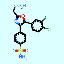 NS(=O)(=O)c1ccc(-c2nc(CC(=O)O)oc2-c2ccc(Cl)c(Cl)c2)cc1